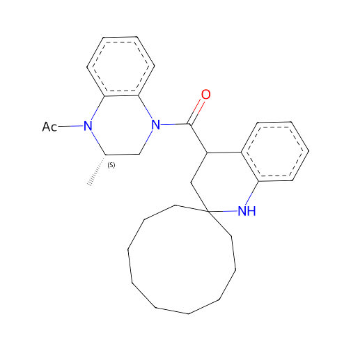 CC(=O)N1c2ccccc2N(C(=O)C2CC3(CCCCCCCCC3)Nc3ccccc32)C[C@@H]1C